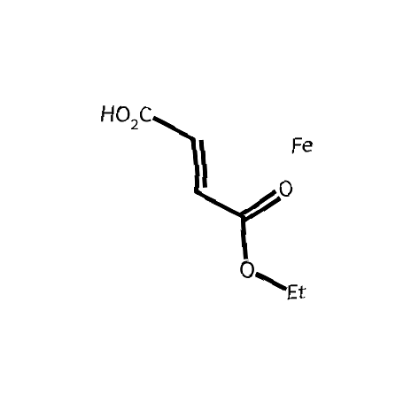 CCOC(=O)C=CC(=O)O.[Fe]